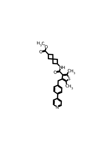 COC(=O)C1CC2(CC(NC(=O)c3c(C)sc(C)c3Cc3ccc(-c4ccncc4)cc3)C2)C1